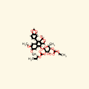 C=CCOC(=O)O[C@H]1C(Oc2c3c(c(-c4ccc5c(c4)OCO5)c4cc(OC)c(OC)cc24)C(=O)OC3)O[C@H](C)[C@@H](OC(=O)OCC)[C@@H]1O